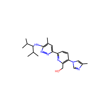 Cc1cn(-c2ccc(-c3cc(C)c(NC(C(C)C)C(C)C)nn3)nc2CO)cn1